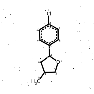 CC1COC(c2ccc(Cl)cc2)C1